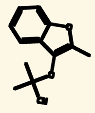 Cc1oc2ccccc2c1OC(C)(C)C#N